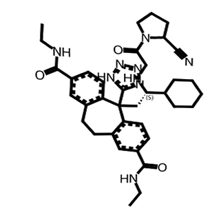 CCNC(=O)c1ccc2c(c1)CCc1cc(C(=O)NCC)ccc1C2(C[C@H](NCC(=O)N1CCCC1C#N)C1CCCCC1)c1nnn[nH]1